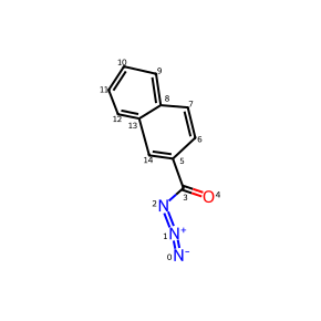 [N-]=[N+]=NC(=O)c1ccc2ccccc2c1